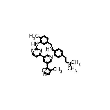 Cc1ccc(CNc2ccc(CCN(C)C)cc2)cc1Nc1nccc(-c2cncc(-c3oncc3C)c2)n1